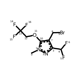 Cn1nc(C(F)F)c(CBr)c1OCC(F)(F)F